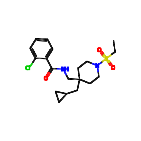 CCS(=O)(=O)N1CCC(CNC(=O)c2ccccc2Cl)(CC2CC2)CC1